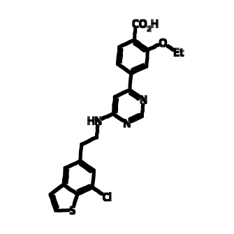 CCOc1cc(-c2cc(NCCc3cc(Cl)c4sccc4c3)ncn2)ccc1C(=O)O